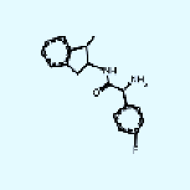 CC1c2ccccc2CC1NC(=O)[C@@H](N)c1ccc(F)cc1